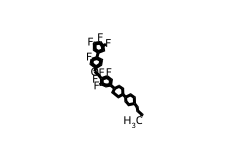 CCCCC1CCC(C2CCC(c3cc(F)c(C(F)(F)Oc4ccc(-c5cc(F)c(F)c(F)c5)c(F)c4)c(F)c3)CC2)CC1